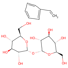 C=Cc1ccccc1.OC[C@H]1O[C@H](O[C@H]2O[C@H](CO)[C@@H](O)[C@H](O)[C@H]2O)[C@H](O)[C@@H](O)[C@@H]1O